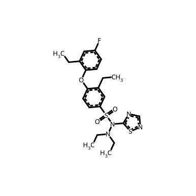 CCc1cc(F)ccc1Oc1ccc(S(=O)(=O)N(c2ncns2)N(CC)CC)cc1CC